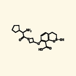 NC(C(=O)N1CC(Oc2ccc3c(c2C(=O)O)OB(O)CC3)C1)C1CCCC1